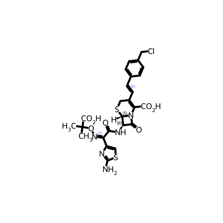 CC(C)(O/N=C(\C(=O)N[C@@H]1C(=O)N2C(C(=O)O)=C(/C=C/c3ccc(CCl)cc3)CS[C@@H]12)c1csc(N)n1)C(=O)O